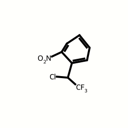 O=[N+]([O-])c1ccccc1C(Cl)C(F)(F)F